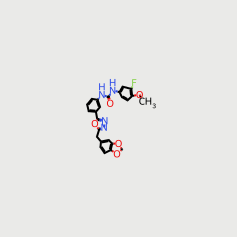 COc1ccc(NC(=O)Nc2cccc(-c3nnc(Cc4ccc5c(c4)OCO5)o3)c2)cc1F